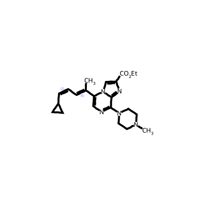 CCOC(=O)c1cn2c(/C(C)=C/C=C\C3CC3)cnc(N3CCN(C)CC3)c2n1